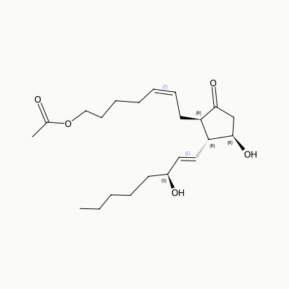 CCCCC[C@H](O)/C=C/[C@H]1[C@H](O)CC(=O)[C@@H]1C/C=C\CCCCOC(C)=O